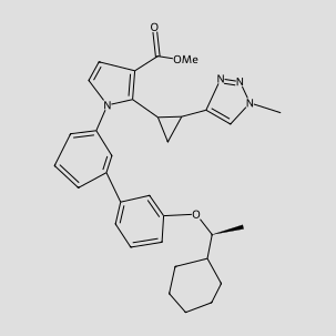 COC(=O)c1ccn(-c2cccc(-c3cccc(O[C@@H](C)C4CCCCC4)c3)c2)c1C1CC1c1cn(C)nn1